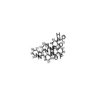 O=C1COc2cc(Nc3nccc(-c4c(-c5cccc(NC(=O)c6c(F)cccc6F)c5)nn5ccccc45)n3)ccc2N1